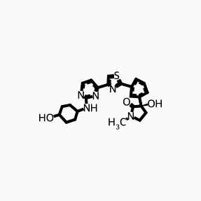 CN1CC[C@@](O)(c2cccc(-c3nc(-c4ccnc(NC5CCC(O)CC5)n4)cs3)c2)C1=O